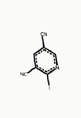 N#Cc1cnc(I)c(C#N)c1